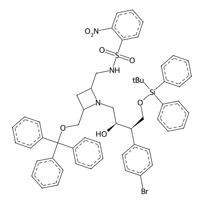 CC(C)(C)[Si](OC[C@@H](c1ccc(Br)cc1)[C@@H](O)CN1C(CNS(=O)(=O)c2ccccc2[N+](=O)[O-])CC1COC(c1ccccc1)(c1ccccc1)c1ccccc1)(c1ccccc1)c1ccccc1